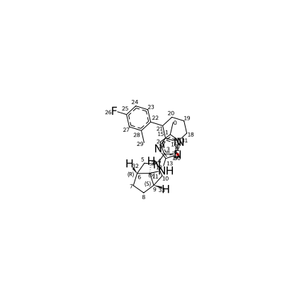 Cc1cc(N2C[C@H]3CC[C@@H](C2)[C@@H]3Nc2nc3n(n2)CCCC3c2ccc(F)cc2C)sn1